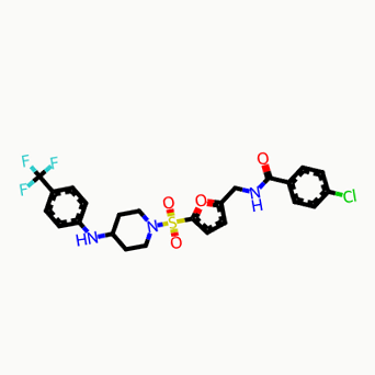 O=C(NCc1ccc(S(=O)(=O)N2CCC(Nc3ccc(C(F)(F)F)cc3)CC2)o1)c1ccc(Cl)cc1